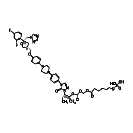 CC[C@@H]([C@H](C)OC(=O)OCOC(=O)CCCCCOP(=O)(O)O)n1ncn(-c2ccc(N3CCN(c4ccc(OC[C@@H]5CO[C@@](Cn6cncn6)(c6ccc(F)cc6F)C5)cc4)CC3)cc2)c1=O